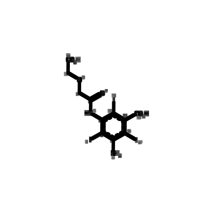 Nc1c(I)c(NC(=O)COCC(=O)O)c(I)c(C(=O)O)c1I